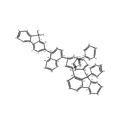 CC1(C)c2ccccc2-c2ccc(-c3ccc(-c4cc(-c5cccc6c5C(c5ccccc5)(c5ccccc5)c5ccccc5-6)nc(-c5ccccc5)n4)c4ccccc34)cc21